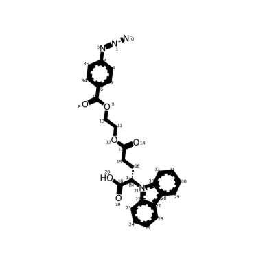 [N-]=[N+]=Nc1ccc(C(=O)OCCOC(=O)CC[C@@H](C(=O)O)n2c3ccccc3c3ccccc32)cc1